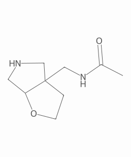 CC(=O)NCC12CCOC1CNC2